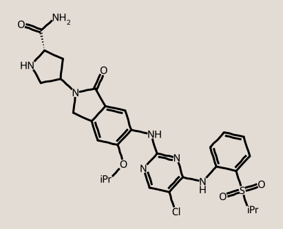 CC(C)Oc1cc2c(cc1Nc1ncc(Cl)c(Nc3ccccc3S(=O)(=O)C(C)C)n1)C(=O)N(C1CN[C@H](C(N)=O)C1)C2